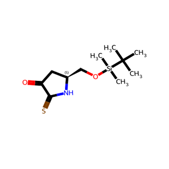 CC(C)(C)[Si](C)(C)OC[C@@H]1CC(=O)C(=S)N1